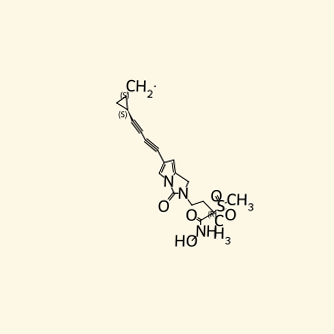 [CH2][C@H]1C[C@@H]1C#CC#Cc1cc2n(c1)C(=O)N(CC[C@](C)(C(=O)NO)S(C)(=O)=O)C2